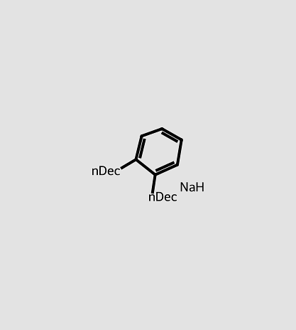 CCCCCCCCCCc1ccccc1CCCCCCCCCC.[NaH]